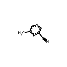 Cc1[c]ncc(C#N)n1